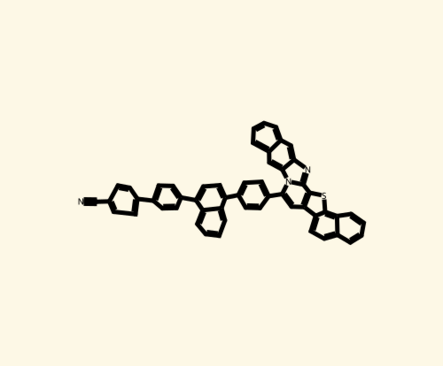 N#Cc1ccc(-c2ccc(-c3ccc(-c4ccc(-c5cc6c7ccc8ccccc8c7sc6c6nc7cc8ccccc8cc7n56)cc4)c4ccccc34)cc2)cc1